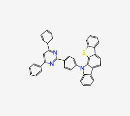 C1=CCC(c2cc(-c3ccccc3)nc(-c3ccc(-n4c5ccccc5c5ccc6c7ccccc7sc6c54)cc3)n2)C=C1